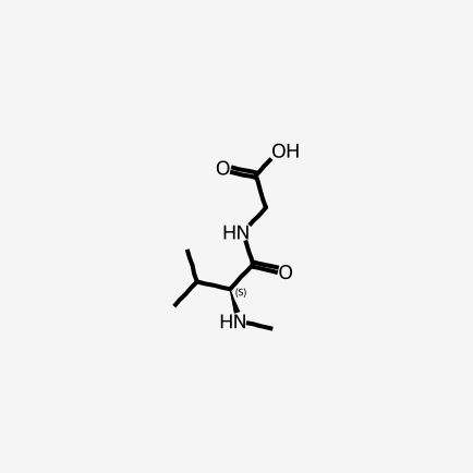 CN[C@H](C(=O)NCC(=O)O)C(C)C